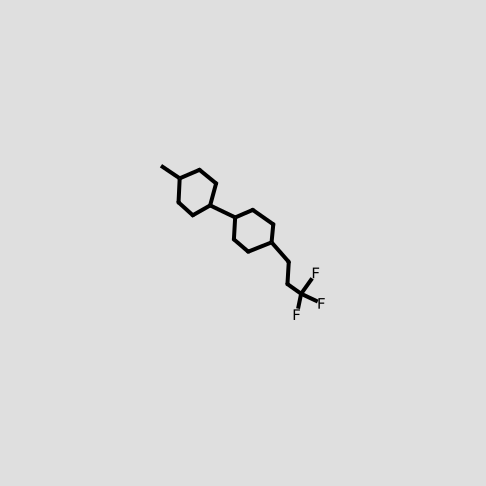 CC1CCC(C2CCC(CCC(F)(F)F)CC2)CC1